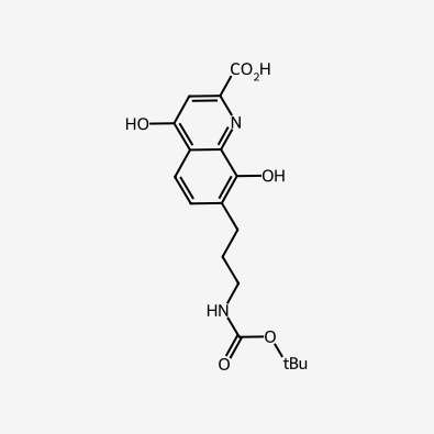 CC(C)(C)OC(=O)NCCCc1ccc2c(O)cc(C(=O)O)nc2c1O